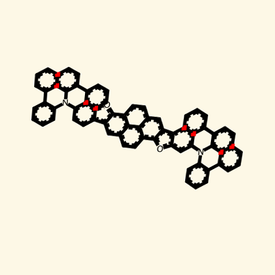 c1ccc(-c2ccccc2N(c2ccc3c(c2)oc2c3cc3ccc4c5oc6cc(N(c7ccccc7-c7ccccc7)c7ccccc7-c7ccccc7)ccc6c5cc5ccc2c3c54)c2ccccc2-c2ccccc2)cc1